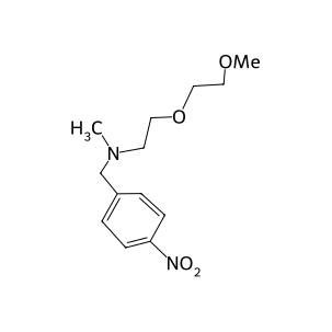 COCCOCCN(C)Cc1ccc([N+](=O)[O-])cc1